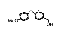 COc1ccc(Oc2ccc(CO)cn2)cc1